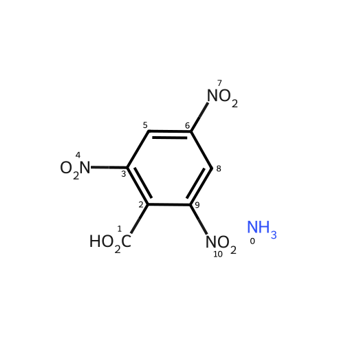 N.O=C(O)c1c([N+](=O)[O-])cc([N+](=O)[O-])cc1[N+](=O)[O-]